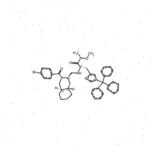 CON(C)C(=O)[C@H](Cc1cn(C(c2ccccc2)(c2ccccc2)c2ccccc2)cn1)NC[C@H]1C[C@@H]2CCCC[C@H]2CN1C(=O)c1ccc(Br)cc1